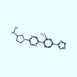 Cc1cc(-c2ncns2)ccc1-c1cnc(N2CCC(NC(C)C)C2)nn1